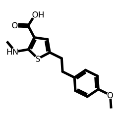 CNc1sc(CCc2ccc(OC)cc2)cc1C(=O)O